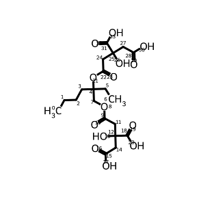 CCCCC(CC)(COC(=O)CC(O)(CC(=O)O)C(=O)O)OC(=O)CC(O)(CC(=O)O)C(=O)O